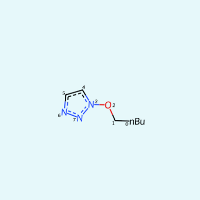 CCCCCOn1ccnn1